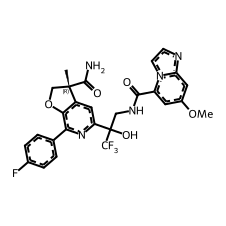 COc1cc(C(=O)NCC(O)(c2cc3c(c(-c4ccc(F)cc4)n2)OC[C@]3(C)C(N)=O)C(F)(F)F)n2ccnc2c1